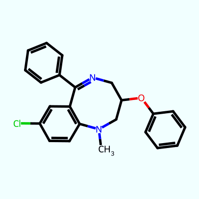 CN1CC(Oc2ccccc2)CN=C(c2ccccc2)c2cc(Cl)ccc21